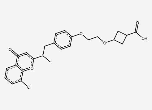 CN(Cc1ccc(OCCOC2CC(C(=O)O)C2)cc1)c1cc(=O)c2cccc(Cl)c2o1